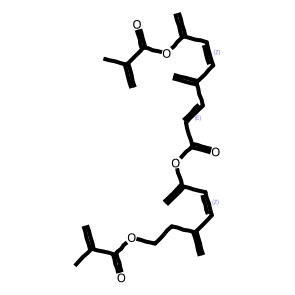 C=C(/C=C\C(=C)OC(=O)C(=C)C)/C=C/C(=O)OC(=C)/C=C\C(=C)CCOC(=O)C(=C)C